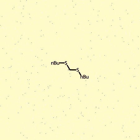 CCCCS[CH]SCCCC